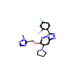 Cn1ncnc1COc1nn2c(-c3ccc(F)cc3F)nnc2cc1N1CCCC1